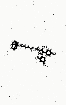 Cc1c(C(=O)NCCCCCCNC23CC4CC(CC(C4)C2)C3)nn(-c2ccc(Cl)cc2Cl)c1-c1ccc(Cl)cc1